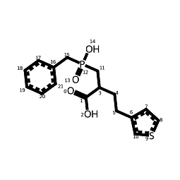 O=C(O)C(CCc1ccsc1)CP(=O)(O)Cc1ccccc1